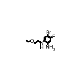 CCOCCNc1cc(Br)c(F)cc1N